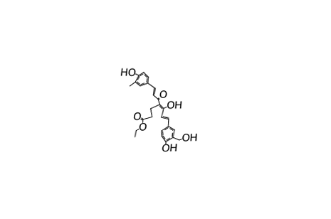 CCOC(=O)CC/C(C(=O)/C=C/c1ccc(O)c(C)c1)=C(O)\C=C\c1ccc(O)c(CO)c1